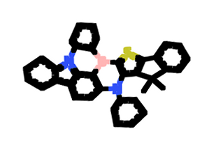 CC1(C)c2ccccc2-c2sc3c(c21)N(c1ccccc1)c1ccc2c4ccccc4n4c2c1B3c1ccccc1-4